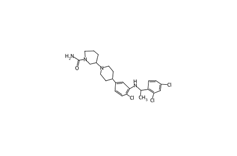 CC(Nc1cc(C2CCN(C3CCCN(C(N)=O)C3)CC2)ccc1Cl)c1ccc(Cl)cc1Cl